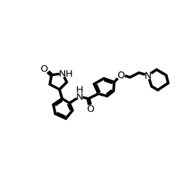 O=C1CC(c2ccccc2NC(=O)c2ccc(OCCN3CCCCC3)cc2)CN1